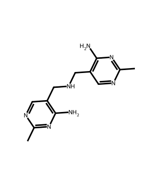 Cc1ncc(CNCc2cnc(C)nc2N)c(N)n1